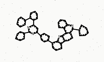 c1ccc(-c2nc(-c3ccc(-c4cccc5c4sc4c5ccc5c(-c6ccccc6)nc6ccccc6c54)cc3)cc(-c3ccccc3-c3ccccc3)n2)cc1